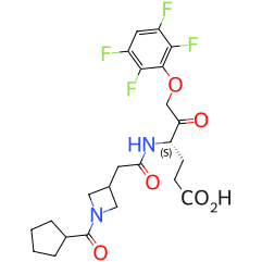 O=C(O)CC[C@H](NC(=O)CC1CN(C(=O)C2CCCC2)C1)C(=O)COc1c(F)c(F)cc(F)c1F